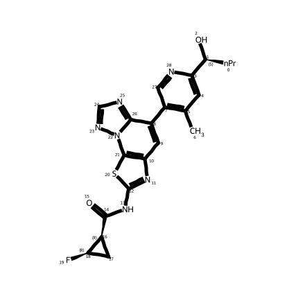 CCC[C@H](O)c1cc(C)c(-c2cc3nc(NC(=O)[C@H]4C[C@H]4F)sc3n3ncnc23)cn1